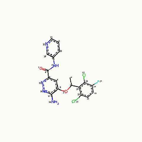 CC(Oc1cc(C(=O)Nc2cccnc2)nnc1N)c1c(Cl)ccc(F)c1Cl